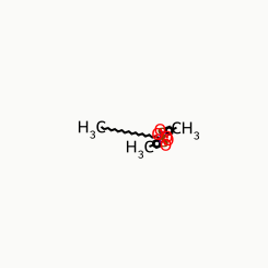 CCCCCCCCCCCCCCCCCCP(=O)(S(=O)(=O)c1ccc(C)cc1)S(=O)(=O)c1ccc(C)cc1